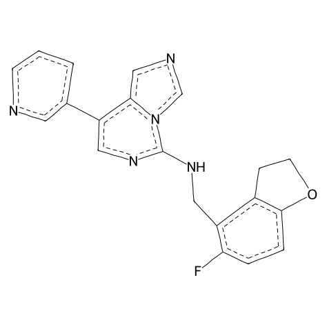 Fc1ccc2c(c1CNc1ncc(-c3cccnc3)c3cncn13)CCO2